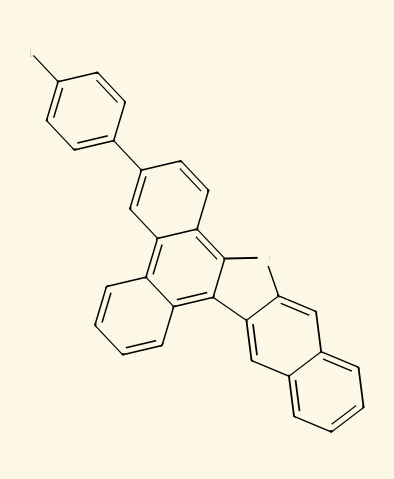 Ic1ccc(-c2ccc3c(c2)c2ccccc2c2c4cc5ccccc5cc4oc32)cc1